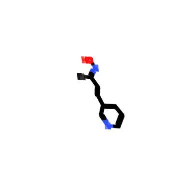 CCC(/C=C/c1cccnc1)=N\O